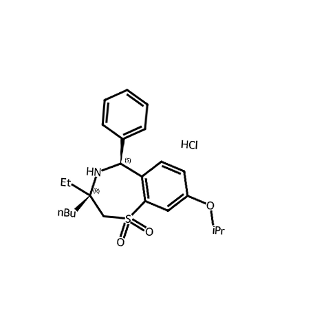 CCCC[C@]1(CC)CS(=O)(=O)c2cc(OC(C)C)ccc2[C@H](c2ccccc2)N1.Cl